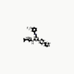 FC(F)(F)c1cccc(/C=C/c2nc(Nc3cc(C4CC4)[nH]n3)nc(N3CCN(c4ccncc4)CC3)n2)c1